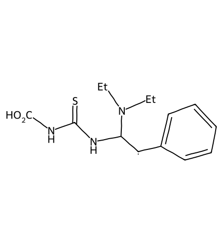 CCN(CC)C([CH]c1ccccc1)NC(=S)NC(=O)O